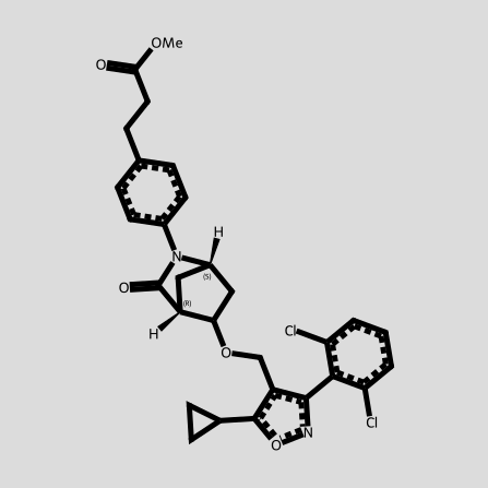 COC(=O)CCc1ccc(N2C(=O)[C@@H]3C[C@H]2CC3OCc2c(-c3c(Cl)cccc3Cl)noc2C2CC2)cc1